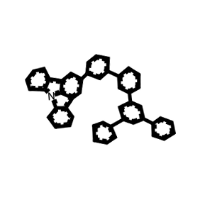 c1ccc(-c2cc(-c3ccccc3)cc(-c3cccc(-c4cccc(-c5cc6c7ccccc7n7c8ccccc8c(c5)c67)c4)c3)c2)cc1